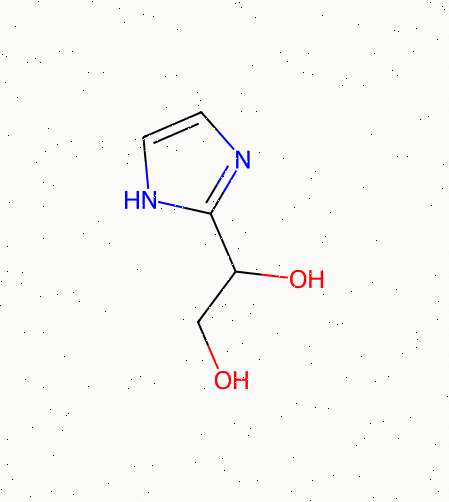 OCC(O)c1ncc[nH]1